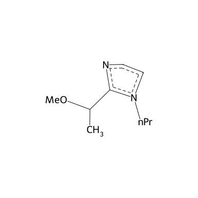 CCCn1ccnc1C(C)OC